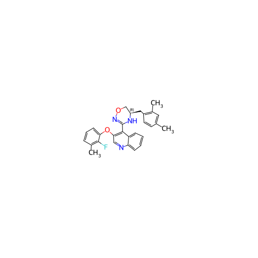 Cc1ccc(C[C@@H]2CON=C(c3c(Oc4cccc(C)c4F)cnc4ccccc34)N2)c(C)c1